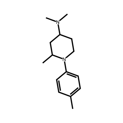 Cc1ccc(N2CCC(N(C)C)CC2C)cc1